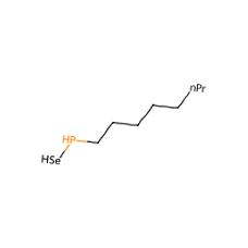 CCCCCCCCP[SeH]